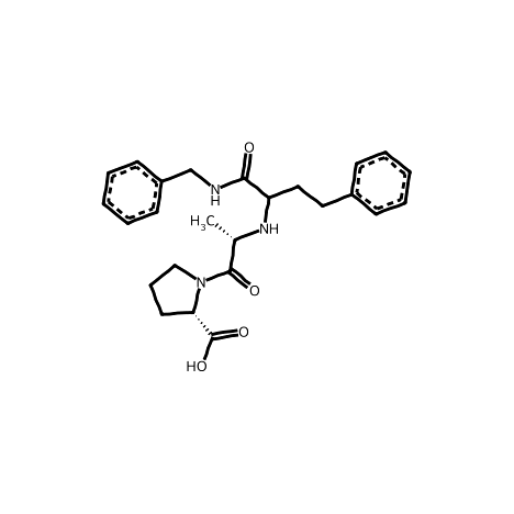 C[C@H](NC(CCc1ccccc1)C(=O)NCc1ccccc1)C(=O)N1CCC[C@H]1C(=O)O